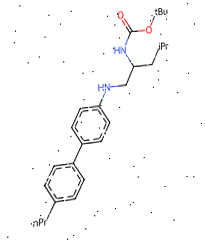 CCCc1ccc(-c2ccc(NCC(CC(C)C)NC(=O)OC(C)(C)C)cc2)cc1